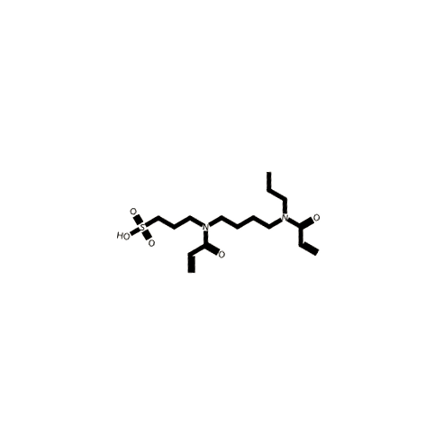 C=CC(=O)N(CCC)CCCCN(CCCS(=O)(=O)O)C(=O)C=C